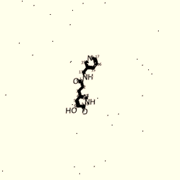 O=C(CCc1cc(O)c(=O)[nH]n1)NCc1cccnc1